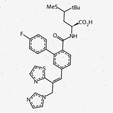 CSC(C[C@H](NC(=O)c1ccc(C=C(Cn2ccnc2)c2nccs2)cc1-c1ccc(F)cc1)C(=O)O)C(C)(C)C